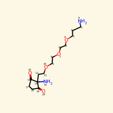 NCCCOCCOCCOCCC1(N)C(=O)CCC1=O